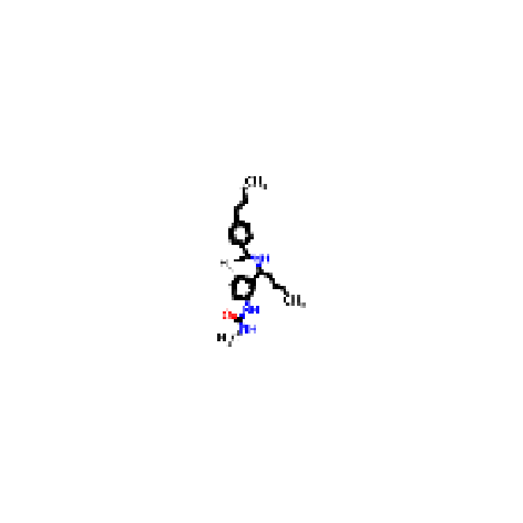 CCCCc1ccc(C(C)NC(CCCC)c2cccc(NC(=O)NC)c2)cc1